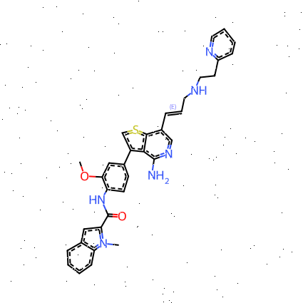 COc1cc(-c2csc3c(/C=C/CNCCc4ccccn4)cnc(N)c23)ccc1NC(=O)c1cc2ccccc2n1C